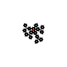 c1ccc(-c2cc(-c3ccc(N(c4ccccc4)c4ccccc4)cc3)c3c4ccc(N(c5ccccc5)c5ccccc5)cc4c4cc(-c5ccc(N(c6ccccc6)c6ccccc6)cc5)ccc4c3c2-c2ccc(N(c3ccccc3)c3ccccc3)cc2)cc1